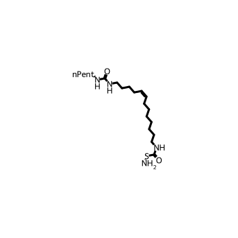 CCCCCNC(=O)NCCCC/C=C\CCCCCCCNC(=O)SN